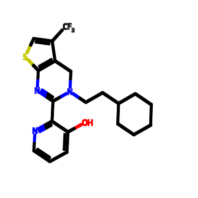 Oc1cccnc1C1=Nc2scc(C(F)(F)F)c2CN1CCC1CCCCC1